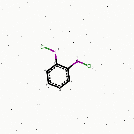 Cl[I]c1ccccc1[I]Cl